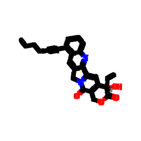 CCCCC#Cc1cccc2nc3c(cc12)Cn1c-3cc2c(c1=O)COC(=O)[C@]2(O)CC